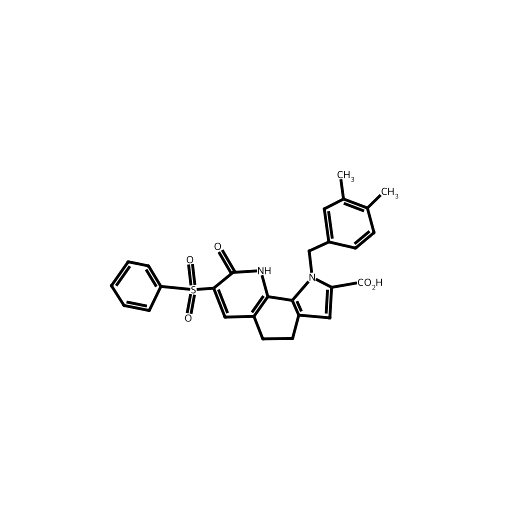 Cc1ccc(Cn2c(C(=O)O)cc3c2-c2[nH]c(=O)c(S(=O)(=O)c4ccccc4)cc2CC3)cc1C